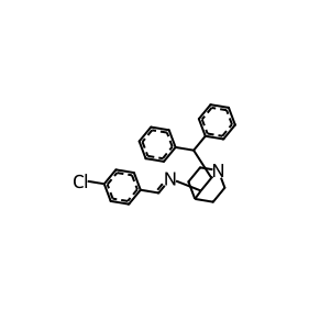 Clc1ccc(C=NC2C3CCN(CC3)C2C(c2ccccc2)c2ccccc2)cc1